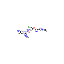 CC(C)n1cc(NC(=O)Nc2ccc(Oc3ccnc(-c4cnn(C)c4)c3)cc2F)c(-c2ccc3cnccc3c2)n1